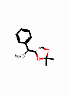 CO[C@@H](c1ccccc1)[C@@H]1COC(C)(C)O1